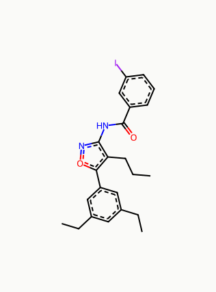 CCCc1c(NC(=O)c2cccc(I)c2)noc1-c1cc(CC)cc(CC)c1